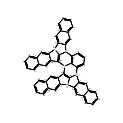 c1cc2c3c(c1)-n1c4cc5ccccc5cc4n4c5cc6ccccc6cc5c(c14)B3c1c3cc4ccccc4cc3n3c4cc5ccccc5cc4n-2c13